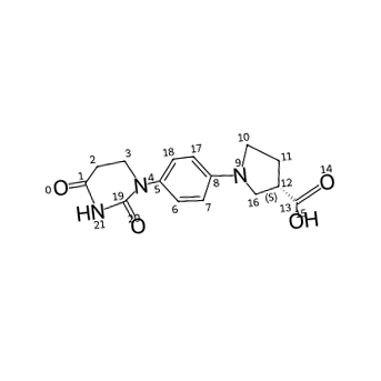 O=C1CCN(c2ccc(N3CC[C@H](C(=O)O)C3)cc2)C(=O)N1